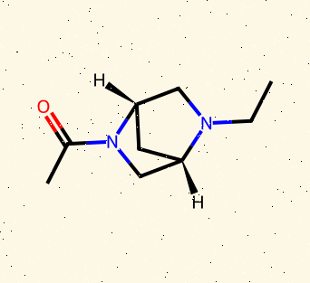 CCN1C[C@@H]2C[C@H]1CN2C(C)=O